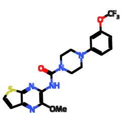 COc1nc2ccsc2nc1NC(=O)N1CCN(c2cccc(OC(F)(F)F)c2)CC1